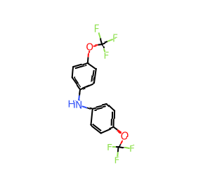 FC(F)(F)Oc1ccc(Nc2ccc(OC(F)(F)F)cc2)cc1